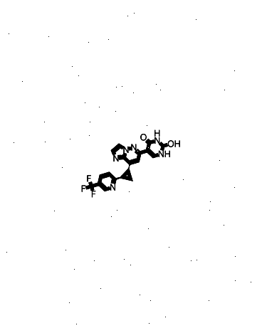 O=C1NC(O)NC=C1c1cc([C@@H]2C[C@H]2c2ccc(C(F)(F)F)cn2)c2nccn2n1